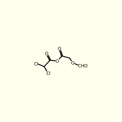 O=COCC(=O)OC(=O)C(Cl)Cl